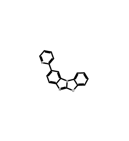 c1ccc(-c2ccc3nc4oc5ccccc5n4c3c2)nc1